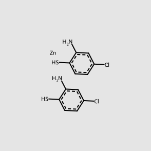 Nc1cc(Cl)ccc1S.Nc1cc(Cl)ccc1S.[Zn]